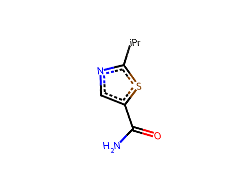 CC(C)c1ncc(C(N)=O)s1